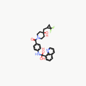 O=C(c1ccc(NC(O)(O)c2cccc3cccnc23)cc1)N1CCC(O)(CC2CC2(F)F)CC1